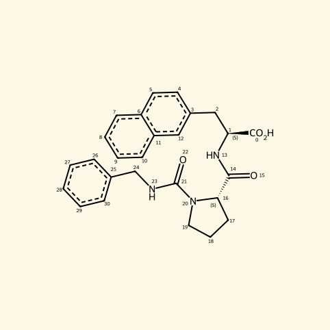 O=C(O)[C@H](Cc1ccc2ccccc2c1)NC(=O)[C@@H]1CCCN1C(=O)NCc1ccccc1